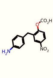 Nc1ccc(Cc2cc([N+](=O)[O-])ccc2OC(=O)O)cc1